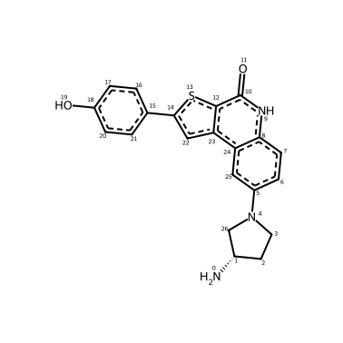 N[C@H]1CCN(c2ccc3[nH]c(=O)c4sc(-c5ccc(O)cc5)cc4c3c2)C1